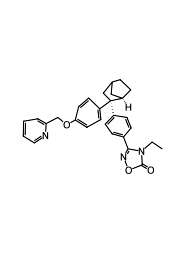 CCn1c(-c2ccc([C@]3(c4ccc(OCc5ccccn5)cc4)CC4CC[C@@H]3C4)cc2)noc1=O